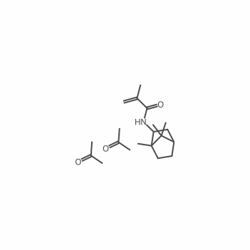 C=C(C)C(=O)NC1CC2CCC1(C)C2(C)C.CC(C)=O.CC(C)=O